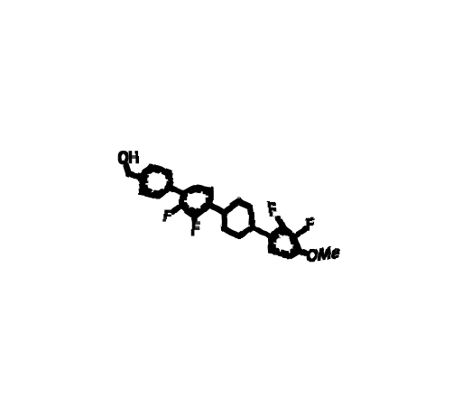 COc1ccc(C2CCC(c3ccc(-c4ccc(CO)cc4)c(F)c3F)CC2)c(F)c1F